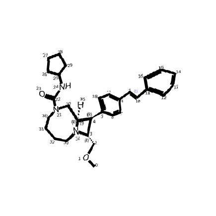 COC[C@H]1[C@H](c2ccc(/C=C/c3ccccc3)cc2)[C@@H]2CN(C(=O)NC3CCCC3)CCCCN12